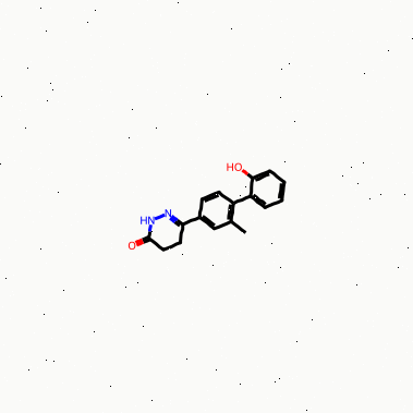 Cc1cc(C2=NNC(=O)CC2)ccc1-c1ccccc1O